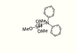 CCN(c1ccccc1)c1ccccc1.CO[SiH](OC)OC